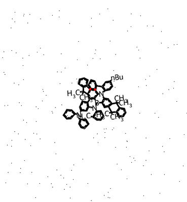 CCCCc1ccc(N2c3cc4c(cc3B3c5c2cc2c(c5-c5ccc(N(c6ccccc6)c6ccccc6)cc5N3c3ccccc3C)C(C)(C)c3ccccc3-2)C(C)(C)c2ccccc2C4(C)C)c(-c2ccccc2)c1